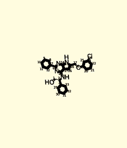 OC[C@H](Nc1nc(-c2ccccc2)nc2[nH]c(COc3cccc(Cl)c3)cc12)c1ccccc1